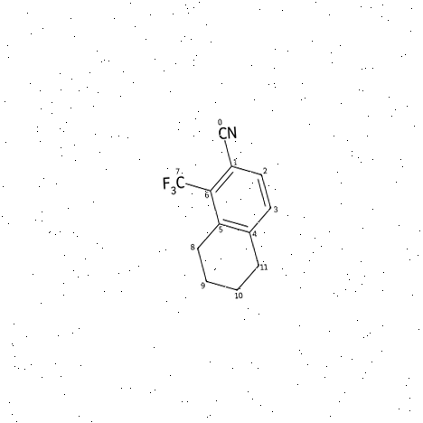 N#Cc1ccc2c(c1C(F)(F)F)CCCC2